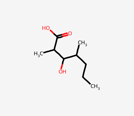 CCCC(C)C(O)C(C)C(=O)O